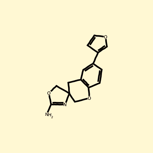 NC1=NC2(CO1)COc1ccc(-c3ccoc3)cc1C2